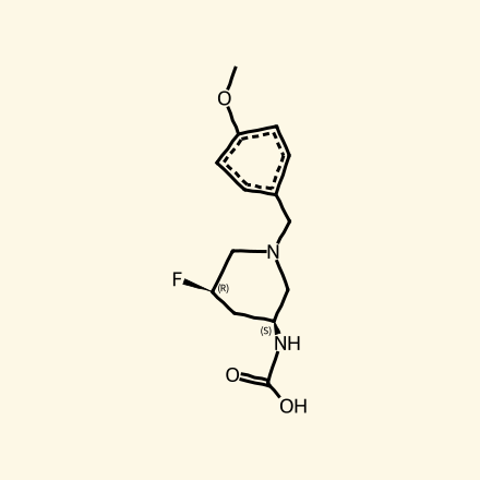 COc1ccc(CN2C[C@H](F)C[C@H](NC(=O)O)C2)cc1